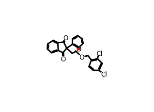 O=C(CC1(c2ccccc2)C(=O)c2ccccc2C1=O)OCc1ccc(Cl)cc1Cl